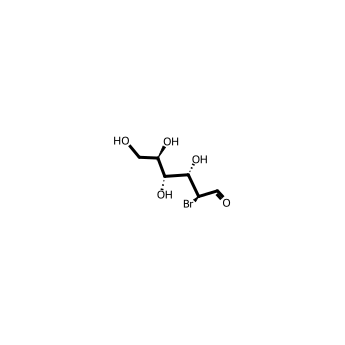 O=C[C@@H](Br)[C@@H](O)[C@H](O)[C@H](O)CO